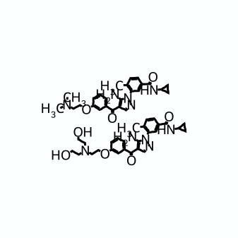 Cc1ccc(C(=O)NC2CC2)cc1-n1ncc(C(=O)c2cccc(OCCN(C)C)c2)c1N.Cc1ccc(C(=O)NC2CC2)cc1-n1ncc(C(=O)c2cccc(OCCN(CCO)CCO)c2)c1N